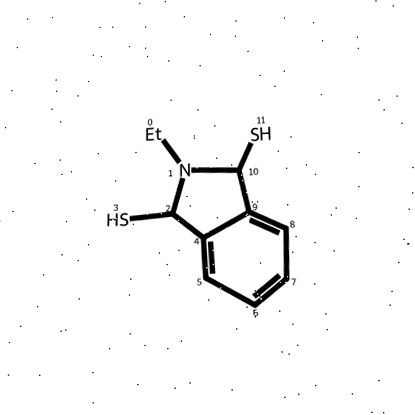 CCN1C(S)c2ccccc2C1S